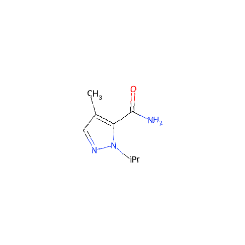 Cc1cnn(C(C)C)c1C(N)=O